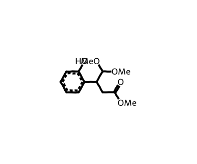 COC(=O)CC(c1ccccc1O)C(OC)OC